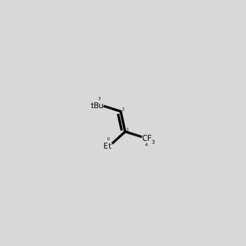 CC/C(=C\C(C)(C)C)C(F)(F)F